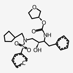 O=C(NC(Cc1ccccc1)[C@@H](O)CN(CC1CCCC1)S(=O)(=O)c1ccccc1)O[C@H]1CCOC1